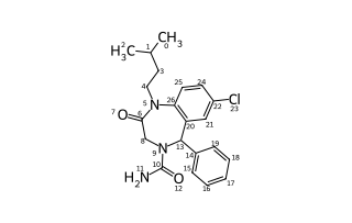 CC(C)CCN1C(=O)CN(C(N)=O)C(c2ccccc2)c2cc(Cl)ccc21